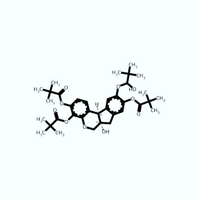 CC(C)(C)C(=O)Oc1cc2c(cc1OC(O)C(C)(C)C)[C@@H]1c3ccc(OC(=O)C(C)(C)C)c(OC(=O)C(C)(C)C)c3OC[C@]1(O)C2